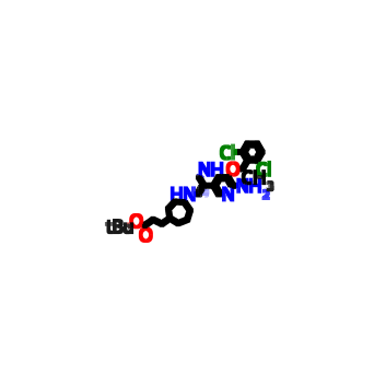 CC(Oc1cc(/C(C=N)=C/NC2CCCC(CCC(=O)OC(C)(C)C)CC2)cnc1N)c1c(Cl)cccc1Cl